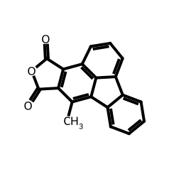 Cc1c2c(c3cccc4c3c1-c1ccccc1-4)C(=O)OC2=O